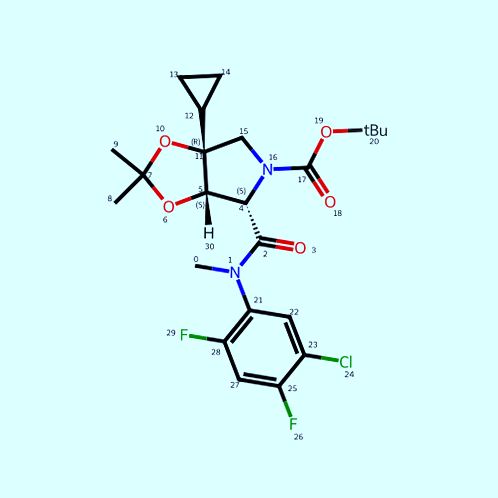 CN(C(=O)[C@@H]1[C@@H]2OC(C)(C)O[C@]2(C2CC2)CN1C(=O)OC(C)(C)C)c1cc(Cl)c(F)cc1F